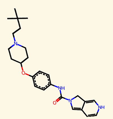 CC(C)(C)CCN1CCC(Oc2ccc(NC(=O)N3C=C4C=CNC=C4C3)cc2)CC1